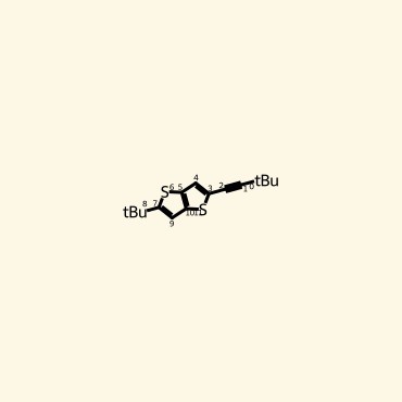 CC(C)(C)C#Cc1cc2sc(C(C)(C)C)cc2s1